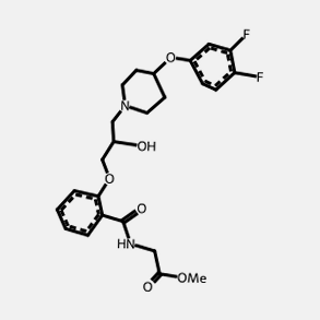 COC(=O)CNC(=O)c1ccccc1OCC(O)CN1CCC(Oc2ccc(F)c(F)c2)CC1